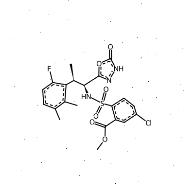 COC(=O)c1cc(Cl)ccc1S(=O)(=O)N[C@H](c1n[nH]c(=O)o1)[C@H](C)c1c(F)ccc(C)c1C